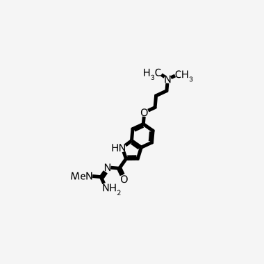 CNC(N)=NC(=O)c1cc2ccc(OCCCN(C)C)cc2[nH]1